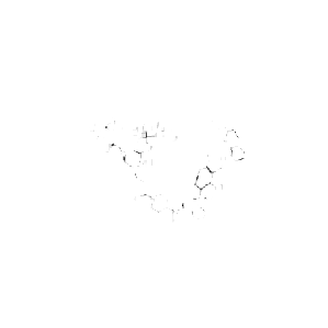 Cc1ccc2cccc(OCc3c(Cl)ccc(S(=O)(=O)N4CCC[C@H]4C(=O)NC4CCN(C(=O)CCN(C=NC(=O)OC(C)(C)C)NC(=O)OC(C)(C)C)CC4)c3Cl)c2n1